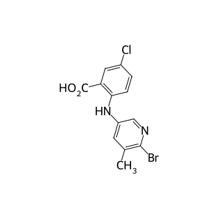 Cc1cc(Nc2ccc(Cl)cc2C(=O)O)cnc1Br